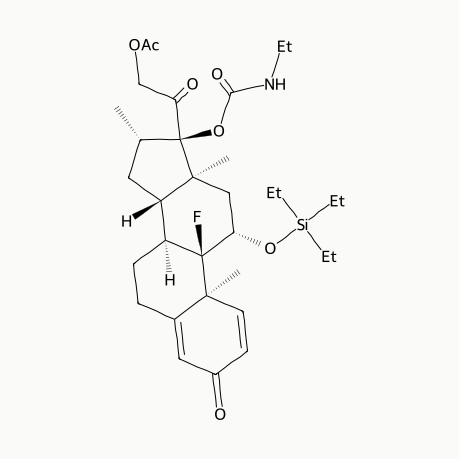 CCNC(=O)O[C@]1(C(=O)COC(C)=O)[C@@H](C)C[C@H]2[C@@H]3CCC4=CC(=O)C=C[C@]4(C)[C@@]3(F)[C@@H](O[Si](CC)(CC)CC)C[C@@]21C